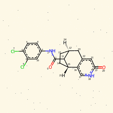 O=C(Nc1ccc(Cl)c(Cl)c1)C1[C@H]2CC[C@H]1c1c[nH]c(=O)cc1C2